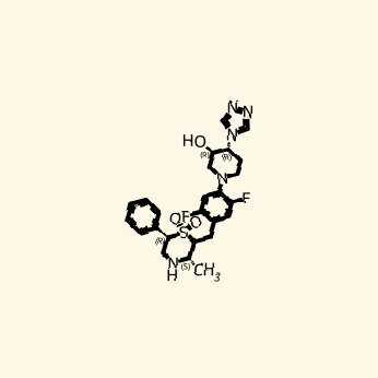 C[C@@H]1NC[C@@H](c2ccccc2)S(=O)(=O)C1Cc1cc(F)c(N2CC[C@@H](n3cnnc3)[C@H](O)C2)cc1F